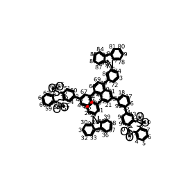 O=S1(=O)c2ccccc2S(=O)(=O)c2cc(-c3cccc(-c4cc(-c5cccc(-n6c7ccccc7c7ccccc76)c5)c5c(-c6cccc(-c7ccc8c(c7)S(=O)(=O)c7ccccc7S8(=O)=O)c6)ccc(-c6cccc(-n7c8ccccc8c8ccccc87)c6)c5c4)c3)ccc21